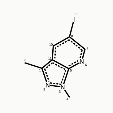 Cc1nn(C)c2ncc(I)cc12